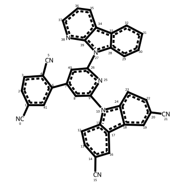 N#Cc1ccc(C#N)c(-c2cc(-n3c4ccc(C#N)cc4c4cc(C#N)ccc43)nc(-n3c4ccccc4c4cccnc43)c2)c1